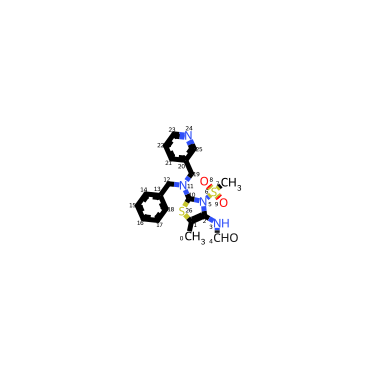 CC1=C(NC=O)N(S(C)(=O)=O)C(N(Cc2ccccc2)Cc2cccnc2)S1